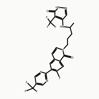 CC(CCCn1ccc2cc(-c3ncc(C(F)(F)F)cn3)c(F)cc2c1=O)Nc1cn[nH]c(=O)c1C(F)(F)F